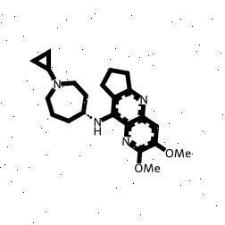 COc1cc2nc3c(c(N[C@@H]4CCCN(C5CC5)CC4)c2nc1OC)CCC3